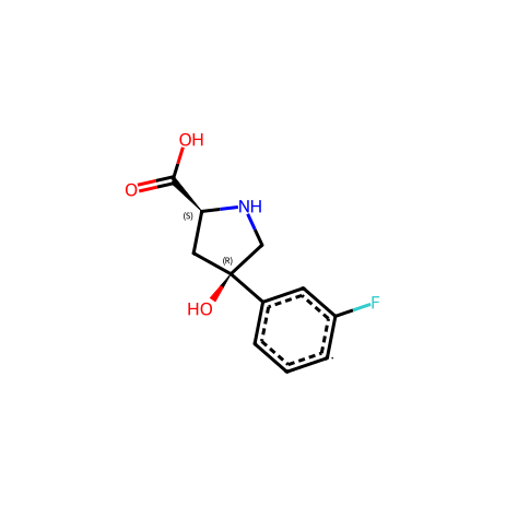 O=C(O)[C@@H]1C[C@@](O)(c2cc[c]c(F)c2)CN1